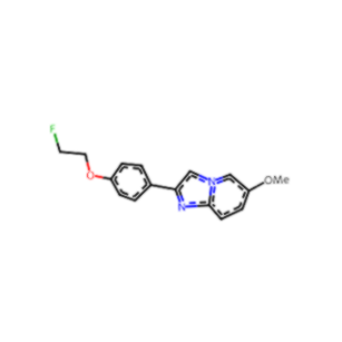 COc1ccc2nc(-c3ccc(OCCF)cc3)cn2c1